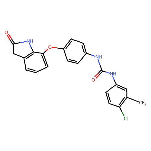 O=C1Cc2cccc(Oc3ccc(NC(=O)Nc4ccc(Cl)c(C(F)(F)F)c4)cc3)c2N1